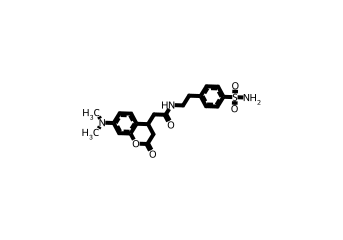 CN(C)c1ccc2c(c1)OC(=O)CC2CC(=O)NCCc1ccc(S(N)(=O)=O)cc1